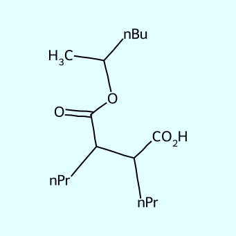 CCCCC(C)OC(=O)C(CCC)C(CCC)C(=O)O